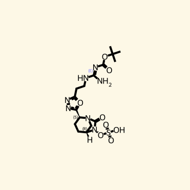 CC(C)(C)OC(=O)/N=C(\N)NCCc1nnc([C@@H]2CC[C@@H]3CN2C(=O)N3OS(=O)(=O)O)o1